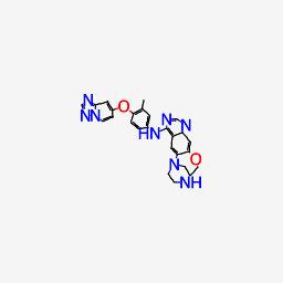 Cc1cc(Nc2ncnc3cc4c(cc23)N2CCNC(CO4)C2)ccc1Oc1ccn2ncnc2c1